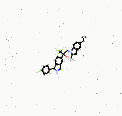 CCc1ccc2c(c1)cc(C)n2CC(O)(c1ccc2c(c1)C=NC2c1ccc(F)cc1)C(F)(F)F